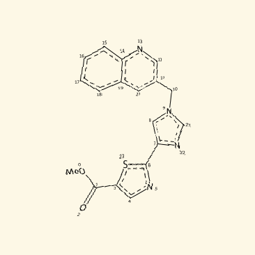 COC(=O)c1cnc(-c2cn(Cc3cnc4ccccc4c3)cn2)s1